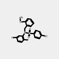 [CH2]CCOc1ccccc1CN(c1cc(F)ccc1F)S(=O)(=O)c1ccc(Cl)cc1